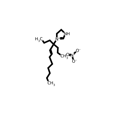 CCCCCCC=CC(CCC)(CCC)[N+]1=CNCC1.O=[N+]([O-])[O-]